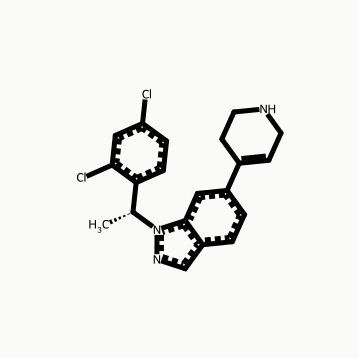 C[C@H](c1ccc(Cl)cc1Cl)n1ncc2ccc(C3=CCNCC3)cc21